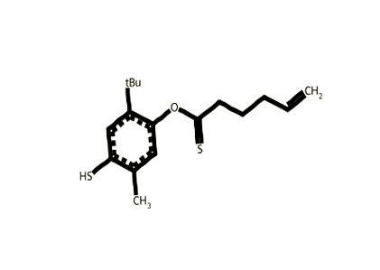 C=CCCCC(=S)Oc1cc(C)c(S)cc1C(C)(C)C